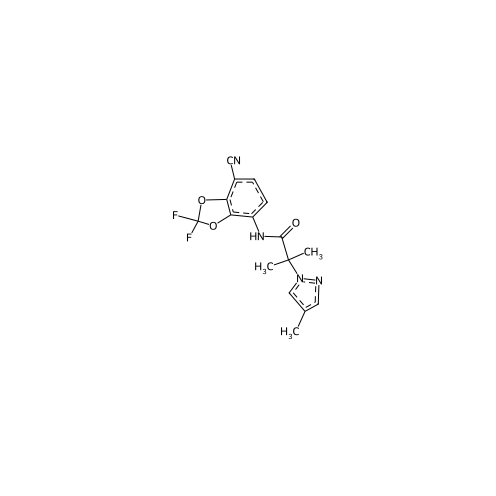 Cc1cnn(C(C)(C)C(=O)Nc2ccc(C#N)c3c2OC(F)(F)O3)c1